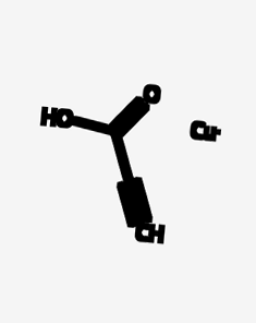 C#CC(=O)O.[Cu]